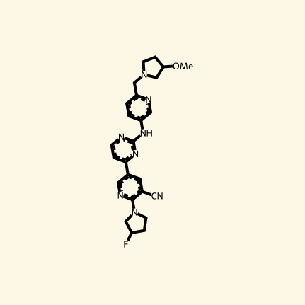 COC1CCN(Cc2ccc(Nc3nccc(-c4cnc(N5CCC(F)C5)c(C#N)c4)n3)cn2)C1